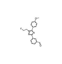 COc1ccc(-c2nc(-c3cccc(C=O)c3)nn2CCF)cc1